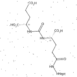 CCCCCCCNC(=O)CC[C@H](NC(=O)N[C@@H](CCC(=O)O)C(=O)O)C(=O)O